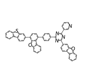 c1cncc(-c2nc(-c3ccc(-c4ccc(-c5ccc6c(c5)sc5ccccc56)c5oc6ccccc6c45)cc3)nc(-c3ccc4c(c3)oc3ccccc34)n2)c1